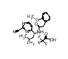 COc1ccccc1CC(=O)NN(CC(C)C)c1ccnc(C#N)n1.O=C(O)C(F)(F)F